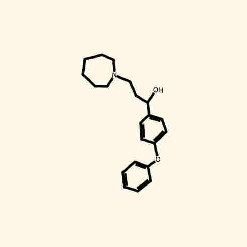 OC(CCN1CCCCCC1)c1ccc(Oc2ccccc2)cc1